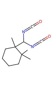 CC1(C)CCCCC1(C)C(N=C=O)N=C=O